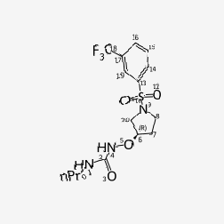 CCCNC(=O)NO[C@@H]1CCN(S(=O)(=O)c2cccc(C(F)(F)F)c2)C1